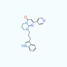 O=c1cc(-c2ccncc2)nc2n1CCCN2CCCc1c[nH]c2ccccc12